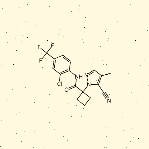 Cc1cnn(C2(C(=O)Nc3ccc(C(F)(F)F)cc3Cl)CCC2)c1C#N